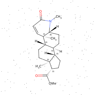 COC(=O)[C@H]1CC[C@H]2[C@@H]3CC[C@H]4N(C)C(=O)C=C[C@]4(C)[C@H]3CC[C@]12C